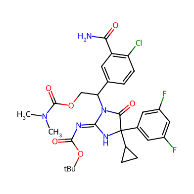 CN(C)C(=O)OCC(c1ccc(Cl)c(C(N)=O)c1)N1C(=O)C(c2cc(F)cc(F)c2)(C2CC2)NC1=NC(=O)OC(C)(C)C